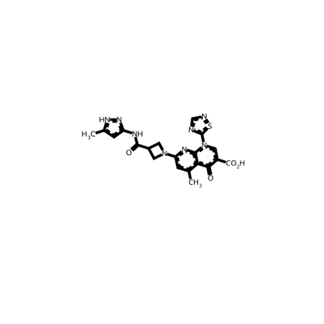 Cc1cc(NC(=O)C2CN(c3cc(C)c4c(=O)c(C(=O)O)cn(-c5ncns5)c4n3)C2)n[nH]1